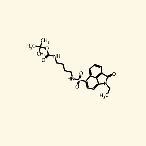 CCN1C(=O)c2cccc3c(S(=O)(=O)NCCCCNC(=O)OC(C)(C)C)ccc1c23